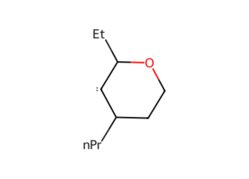 CCCC1[C]C(CC)OCC1